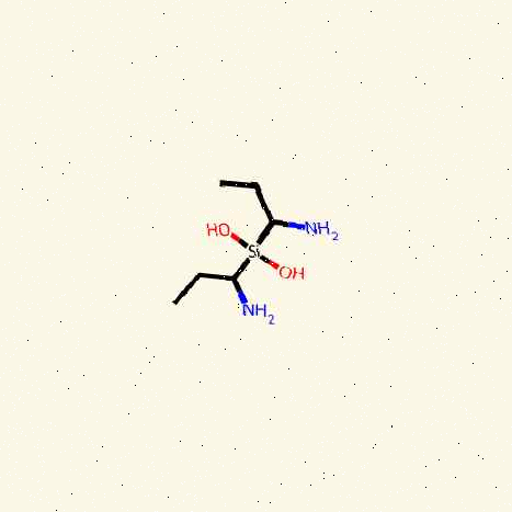 CCC(N)[Si](O)(O)C(N)CC